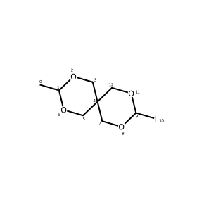 CC1OCC2(CO1)COC(I)OC2